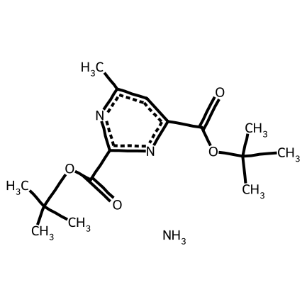 Cc1cc(C(=O)OC(C)(C)C)nc(C(=O)OC(C)(C)C)n1.N